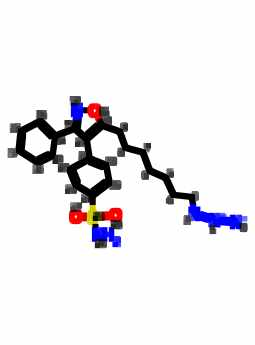 [N-]=[N+]=NCCCCCCCc1onc(-c2ccccc2)c1-c1ccc(S(N)(=O)=O)cc1